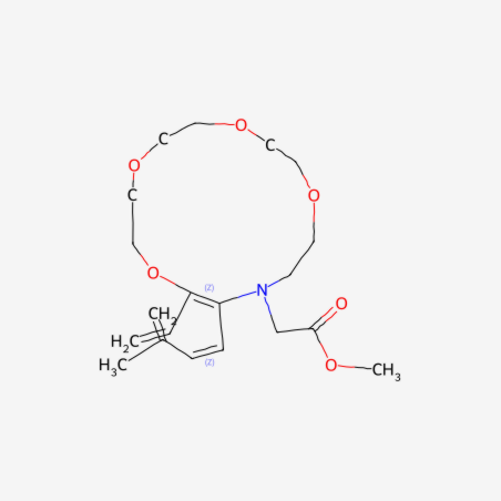 C=C/C1=C(\C=C/C(=C)C)N(CC(=O)OC)CCOCCOCCOCCO1